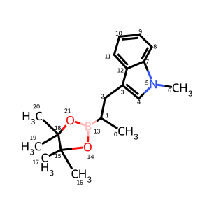 CC(Cc1cn(C)c2ccccc12)B1OC(C)(C)C(C)(C)O1